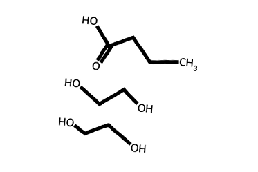 CCCC(=O)O.OCCO.OCCO